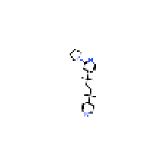 CC(C)(CCC(C)(C)c1ccnc(N2CCCC2)c1)c1ccncc1